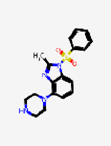 Cc1nc2c(N3CCNCC3)cccc2n1S(=O)(=O)c1ccccc1